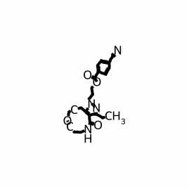 CCc1nn(CCCOC(=O)c2ccc(C#N)cc2)c2c1C(=O)NCCCOCCC2